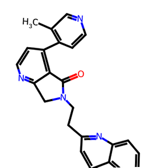 Cc1cnccc1-c1ccnc2c1C(=O)N(CCc1ccc3ccccc3n1)C2